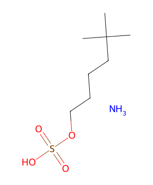 CC(C)(C)CCCCOS(=O)(=O)O.N